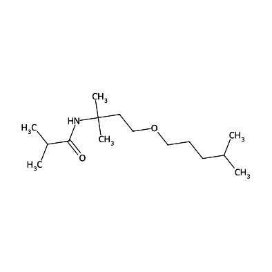 CC(C)CCCOCCC(C)(C)NC(=O)C(C)C